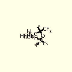 CC(OS(F)(F)F)(C(F)(F)F)C(F)(F)F.F.F.F